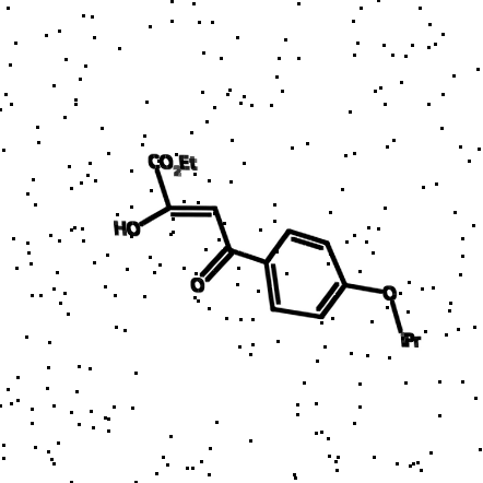 CCOC(=O)C(O)=CC(=O)c1ccc(OC(C)C)cc1